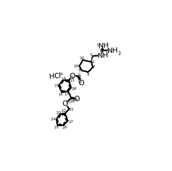 Cl.N=C(N)NC[C@H]1CC[C@H](C(=O)Oc2cccc(C(=O)OCc3ccccc3)c2)CC1